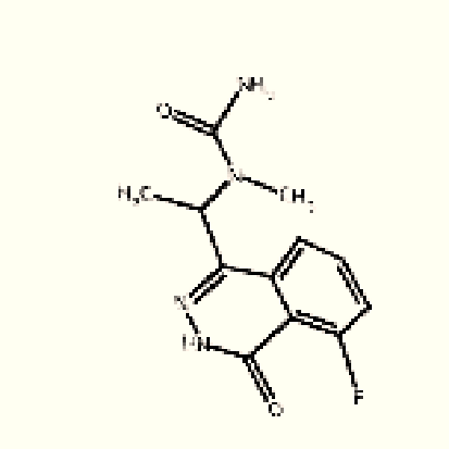 CC(c1n[nH]c(=O)c2c(F)cccc12)N(C)C(N)=O